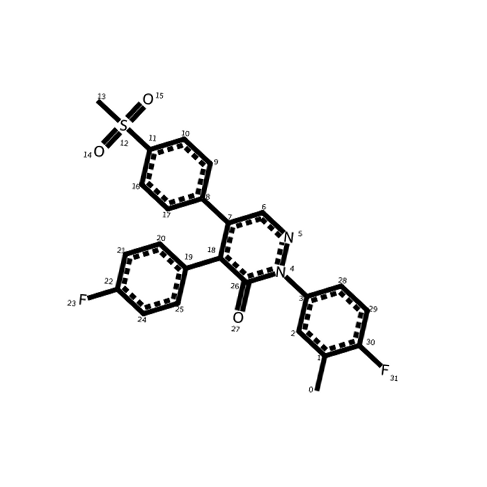 Cc1cc(-n2ncc(-c3ccc(S(C)(=O)=O)cc3)c(-c3ccc(F)cc3)c2=O)ccc1F